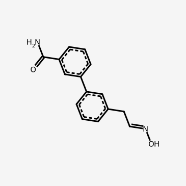 NC(=O)c1cccc(-c2cccc(CC=NO)c2)c1